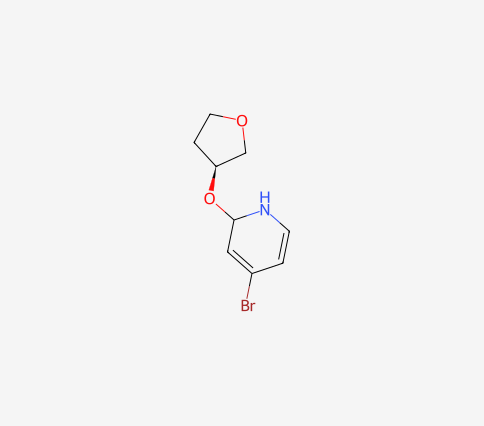 BrC1=CC(O[C@H]2CCOC2)NC=C1